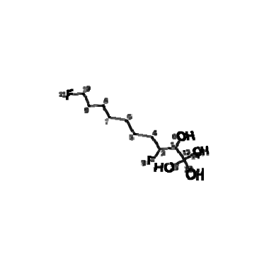 OC(C(F)CCCCCCCF)C(O)(O)O